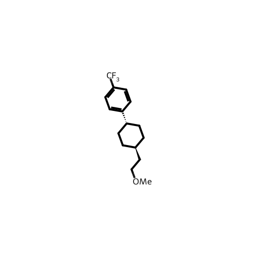 COCC[C@H]1CC[C@H](c2ccc(C(F)(F)F)cc2)CC1